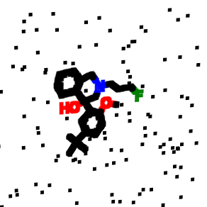 COc1ccc(C(C)(C)C)cc1C1(O)CN(CCCF)Cc2ccccc21